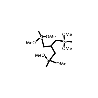 CO[Si](C)(CC(C[Si](C)(OC)OC)C[Si](C)(OC)OC)OC